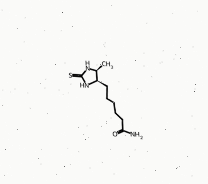 C[C@@H]1NC(=S)N[C@@H]1CCCCCC(N)=O